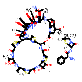 C=C(NC(=O)C(=C)NC(=O)c1csc(C2=NC3c4csc(n4)C4NC(=O)c5csc(n5)C(C(C)(O)C(C)O)NC(=O)C5CSC(=N5)/C(=C\C)NC(=O)C(C(C)O)NC(=O)c5csc(n5)C3(CC2)NC(=O)C(C)NC(=O)C(=C)NC(=O)C(C)NC(=O)C(C(C)CC)NC2C=Cc3c(C(C)O)cc(nc3C2O)C(=O)OC4C)n1)C(N)=O.CC1(C)S[C@@H]2[C@H](NC(=O)[C@H](N)c3ccccc3)C(=O)N2[C@H]1C(=O)O